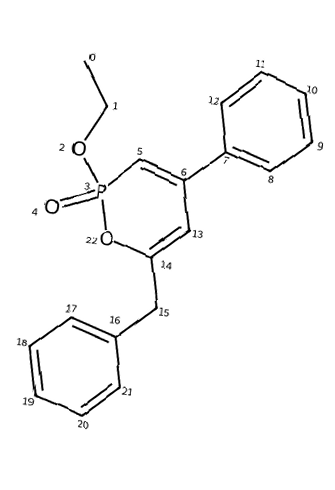 CCOP1(=O)C=C(c2ccccc2)C=C(Cc2ccccc2)O1